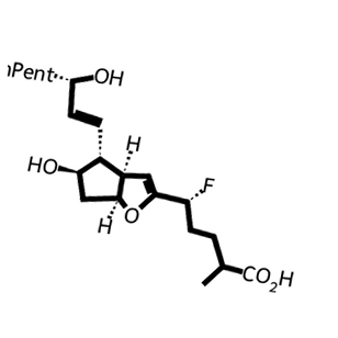 CCCCC[C@H](O)/C=C/[C@@H]1[C@H]2C=C([C@H](F)CCC(C)C(=O)O)O[C@H]2C[C@H]1O